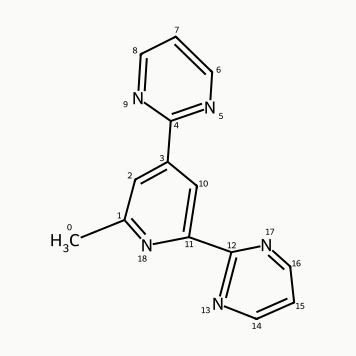 Cc1cc(-c2ncccn2)cc(-c2ncccn2)n1